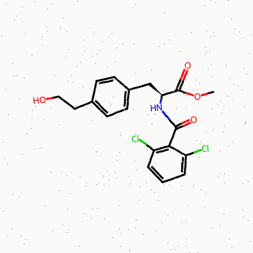 COC(=O)[C@H](Cc1ccc(CCO)cc1)NC(=O)c1c(Cl)cccc1Cl